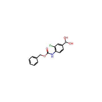 O=C(Nc1ccc(B(O)O)cc1F)OCc1ccccc1